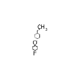 C=CC[C@H]1CC[C@H](COc2ccc(F)cc2)CC1